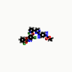 CC(C)(C)OC(=O)NC1CCC(Nc2nccc(-c3cccnc3Oc3c(F)cc(NS(=O)(=O)c4ccccc4Cl)cc3Cl)n2)CC1